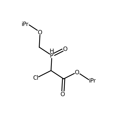 CC(C)OC[PH](=O)C(Cl)C(=O)OC(C)C